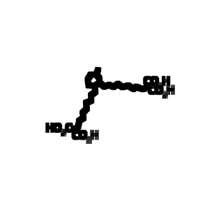 CC1CCCC(CCCCCCCCCC(C(=O)O)C(=O)O)C(CCCCCCCCCC(C(=O)O)C(=O)O)C1